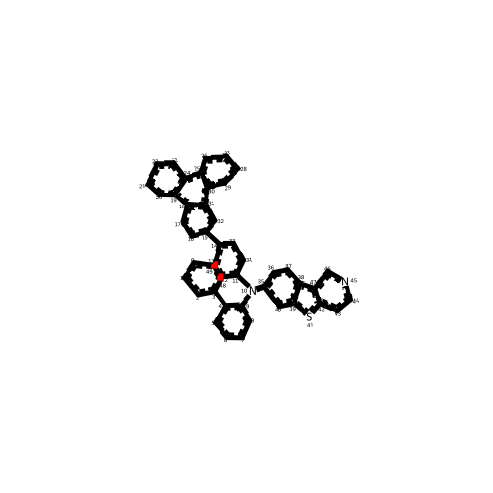 c1ccc(-c2ccccc2N(c2ccc(-c3ccc4c5ccccc5c5ccccc5c4c3)cc2)c2ccc3c(c2)sc2ccncc23)cc1